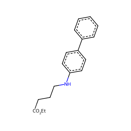 CCOC(=O)CCCNc1ccc(-c2ccccc2)cc1